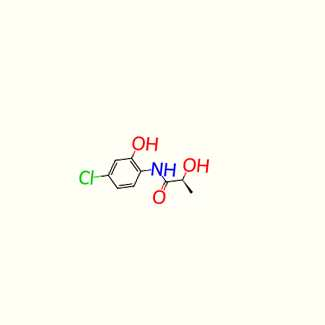 C[C@H](O)C(=O)Nc1ccc(Cl)cc1O